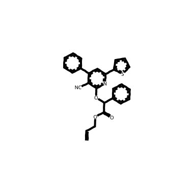 C=CCOC(=O)C(Oc1nc(-c2cccs2)cc(-c2ccccc2)c1C#N)c1ccccc1